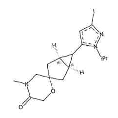 CC(C)n1nc(I)cc1C1[C@H]2CC3(C[C@@H]12)CN(C)C(=O)CO3